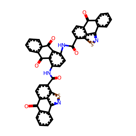 O=C1c2ccccc2C(=O)c2c(NC(=O)c3ccc4c5c(nsc35)-c3ccccc3C4=O)ccc(NC(=O)c3ccc4c5c(nsc35)-c3ccccc3C4=O)c21